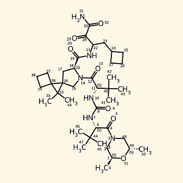 C[C@H]1CN(C(=O)[C@@H](NC(=O)N[C@H](C(=O)N2CC3(C[C@H]2C(=O)NC(CC2CCC2)C(=O)C(N)=O)C(C)(C)C32CCC2)C(C)(C)C)C(C)(C)C)C[C@H](C)O1